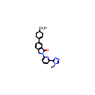 CCOC(=O)C1CC=C(c2ccc3c(c2)C(=O)N(c2cccc(-c4nncn4C(C)C)n2)C3)CC1